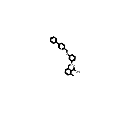 Cc1cccc(COc2cccc(OCc3ccc(-c4ccccc4)cn3)c2)c1C(=O)O